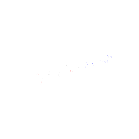 CC(C)OC(=O)c1ccc(-c2ccc(/C=N/NC(=S)NN)o2)cc1